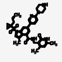 C=CCC1(S(=O)(=O)n2cc(C)c3c(C(=O)NCc4c(C)cc(C)[nH]c4=O)cc(-c4ccc(N5CCNCC5)nc4)cc32)CC1